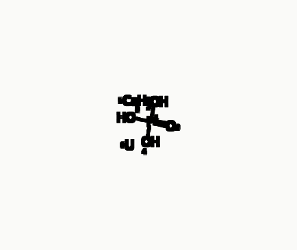 O=P(O)(O)O.[CaH2].[U]